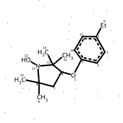 CCc1ccc(OC2CC(C)(C)N(O)C2(C)C)cc1